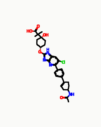 CC(=O)NC1CC=C(c2ccc(-c3nc4nc(O[C@H]5CC[C@](O)(C(C)(C)C(=O)O)CC5)[nH]c4cc3Cl)cc2)CC1